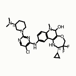 CN1c2ccc(Nc3nc(N4CCC[C@H](N(C)C)C4)ncc3Cl)cc2C2=C(OCC(F)(F)[C@H](C3CC3)N2)C1O